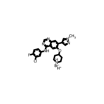 Cn1cc(-c2cc3ncnc(Nc4ccc(F)c(Cl)c4)c3cc2OC2CCNCC2)cn1.[Br-].[H+]